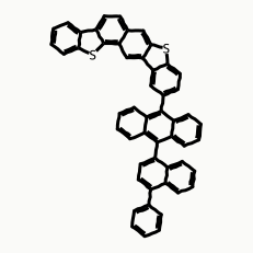 c1ccc(-c2ccc(-c3c4ccccc4c(-c4ccc5sc6cc7ccc8c9ccccc9sc8c7cc6c5c4)c4ccccc34)c3ccccc23)cc1